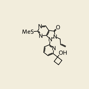 C=CCn1c(=O)c2cnc(SC)nc2n1-c1cccc(C2(O)CCC2)n1